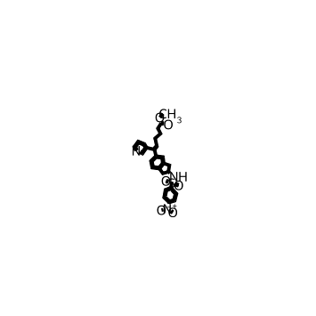 COC(=O)CCCC=C(c1cccnc1)c1ccc2c(c1)CC(NS(=O)(=O)c1ccc([N+](=O)[O-])cc1)C2